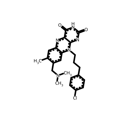 Cc1cc2nc3c(=O)[nH]c(=O)nc-3n(CCCc3ccc(Cl)cc3)c2cc1CN(C)C